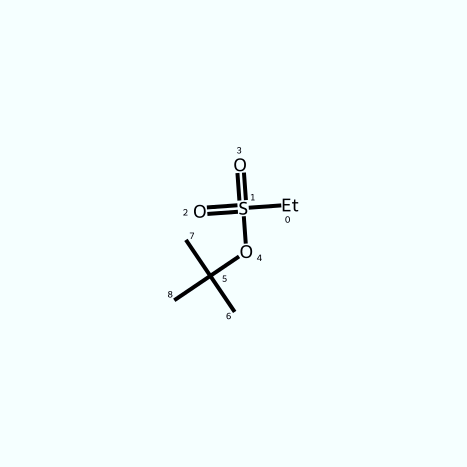 CCS(=O)(=O)OC(C)(C)C